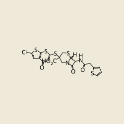 O=C(Cc1cccs1)NC1C(=O)N2CC(Sc3cc(=O)c4cc(Cl)sc4s3)(C(=O)O)CS[C@H]12